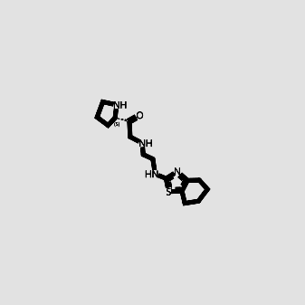 O=C(CNCCNc1nc2c(s1)CCCC2)[C@@H]1CCCN1